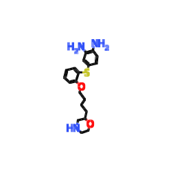 Nc1ccc(Sc2ccccc2OCCCCC2CNCCO2)cc1N